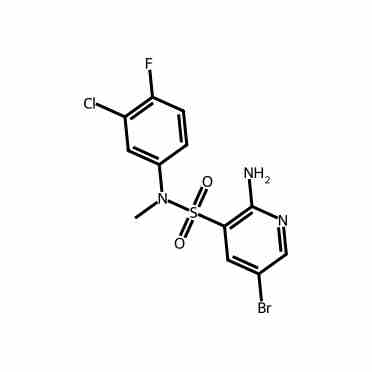 CN(c1ccc(F)c(Cl)c1)S(=O)(=O)c1cc(Br)cnc1N